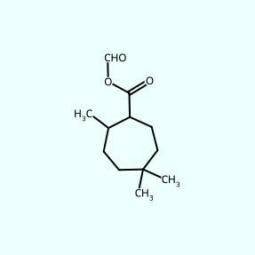 CC1CCC(C)(C)CCC1C(=O)OC=O